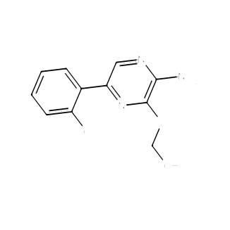 CCOc1nc(-c2ccccc2C)cnc1N